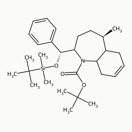 C[C@@H]1CCC([C@H](O[Si](C)(C)C(C)(C)C)c2ccccc2)N(C(=O)OC(C)(C)C)C2CC=CCC21